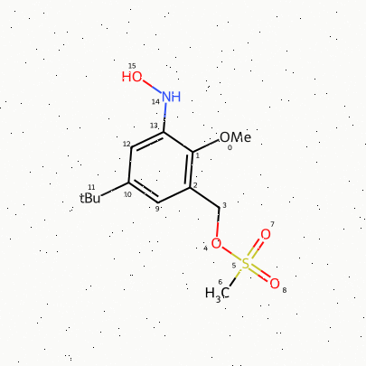 COc1c(COS(C)(=O)=O)cc(C(C)(C)C)cc1NO